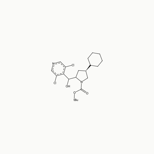 CC(C)(C)OC(=O)N1C[C@H](C2CCCCC2)CC1C(O)c1c(Cl)cncc1Cl